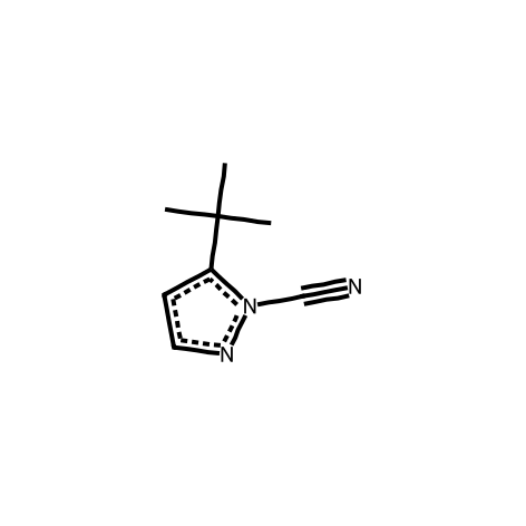 CC(C)(C)c1ccnn1C#N